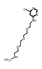 O=C(O)NCCOCCOCCOCCNc1cc(Cl)ncn1